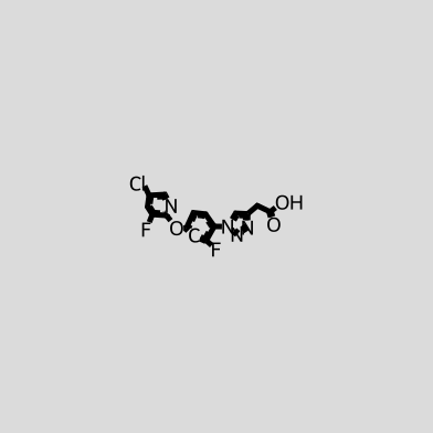 O=C(O)Cc1cn(-c2ccc(Oc3ncc(Cl)cc3F)cc2F)nn1